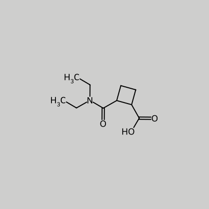 CCN(CC)C(=O)C1CCC1C(=O)O